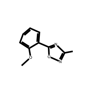 COc1ccccc1-c1nc(C)no1